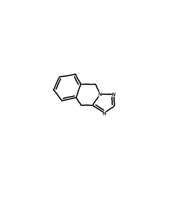 c1ccc2c(c1)Cc1ncnn1C2